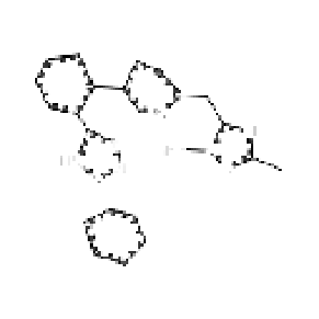 CCCCn1nc(C)nc1Cc1ccc(-c2ccccc2-c2nnn[nH]2)cn1.c1ccccc1